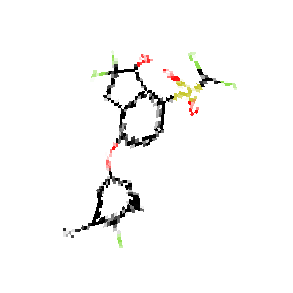 N#Cc1cc(Oc2ccc(S(=O)(=O)C(F)F)c3c2CC(F)(F)C3O)ccc1F